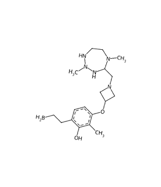 BCCc1ccc(OC2CN(CC3NN(C)NCCN3C)C2)c(C)c1O